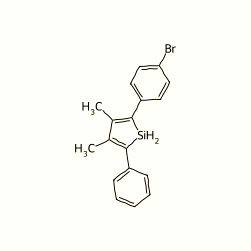 CC1=C(c2ccccc2)[SiH2]C(c2ccc(Br)cc2)=C1C